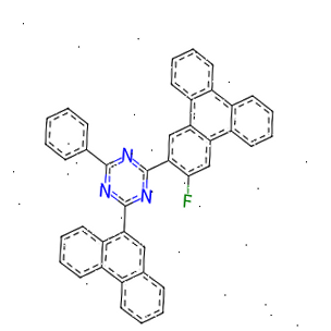 Fc1cc2c3ccccc3c3ccccc3c2cc1-c1nc(-c2ccccc2)nc(-c2cc3ccccc3c3ccccc23)n1